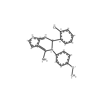 COc1ccc(N2C(N)=c3ccoc3=NC2c2ccccc2Cl)cc1